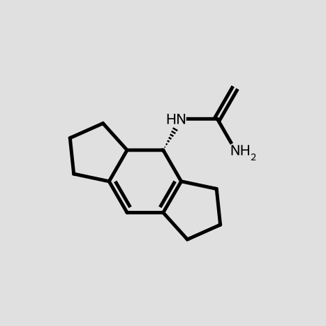 C=C(N)N[C@@H]1C2=C(C=C3CCCC31)CCC2